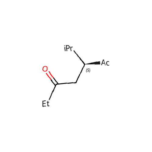 CCC(=O)C[C@H](C(C)=O)C(C)C